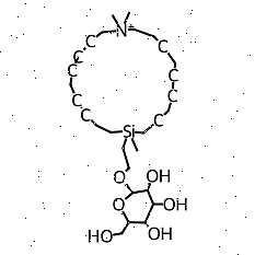 C[N+]1(C)CCCCCCCCC[Si](C)(CCO[C@@H]2OC(CO)[C@@H](O)C(O)[C@@H]2O)CCCCCCCCC1